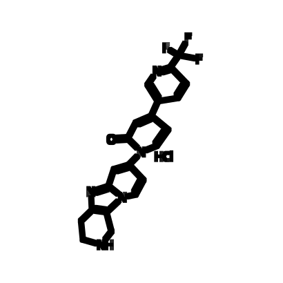 Cl.O=c1cc(-c2ccc(C(F)(F)F)nc2)ccn1-c1ccn2c3c(nc2c1)CCNC3